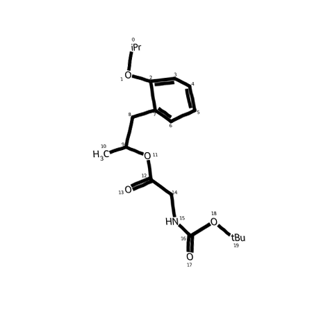 CC(C)Oc1ccccc1CC(C)OC(=O)CNC(=O)OC(C)(C)C